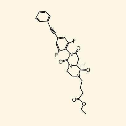 CCOC(=O)CCCN1CCN2C(=O)N(c3c(F)cc(C#Cc4ccccc4)cc3F)C(=O)C[C@@]2(C)C1=O